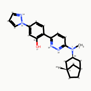 CN(c1ccc(-c2ccc(-n3cccn3)cc2O)nn1)[C@H]1CC2CC[C@@H](C2)C1